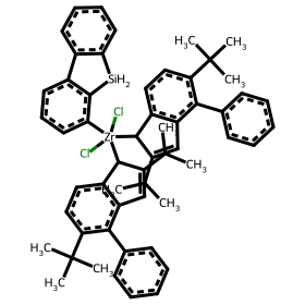 CC(C)C1=Cc2c(ccc(C(C)(C)C)c2-c2ccccc2)[CH]1[Zr]([Cl])([Cl])([c]1cccc2c1[SiH2]c1ccccc1-2)[CH]1C(C(C)C)=Cc2c1ccc(C(C)(C)C)c2-c1ccccc1